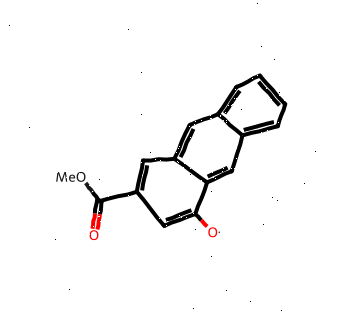 COC(=O)c1cc([O])c2cc3ccccc3cc2c1